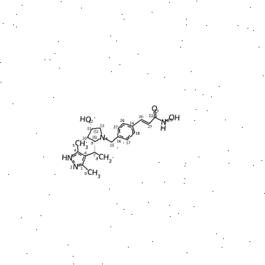 Cc1n[nH]c(C)c1C(C)[C@@H]1C[C@H](O)CN1Cc1ccc(C=CC(=O)NO)cc1